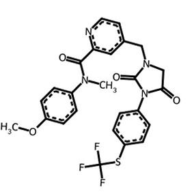 COc1ccc(N(C)C(=O)c2cc(CN3CC(=O)N(c4ccc(SC(F)(F)F)cc4)C3=O)ccn2)cc1